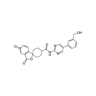 O=C1OC2(CCC(C(=O)Nc3ncc(-c4cccc(CO)c4)cn3)CC2)c2cc[n+]([O-])cc21